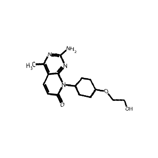 Cc1nc(N)nc2c1ccc(=O)n2C1CCC(OCCO)CC1